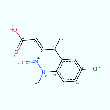 CC(/C=C/C(=O)O)c1cc(Cl)ccc1N(C)N=O